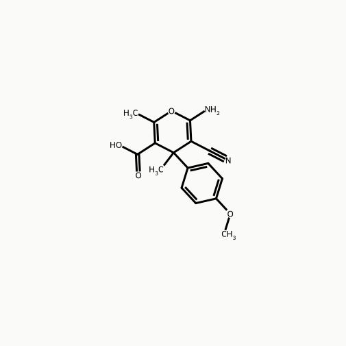 COc1ccc(C2(C)C(C#N)=C(N)OC(C)=C2C(=O)O)cc1